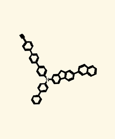 C#Cc1ccc(-c2ccc(-c3ccc(N(c4ccc(-c5ccccc5)cc4)c4ccc5c(c4)Cc4cc(-c6ccc7ccccc7c6)ccc4-5)cc3)cc2)cc1